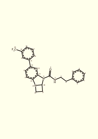 O=C(NCCc1ccccc1)N1c2nc(-c3cccc(C(F)(F)F)c3)ccc2N2CCC21